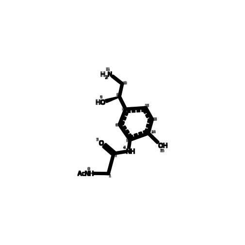 CC(=O)NCC(=O)Nc1cc([C@@H](O)CN)ccc1O